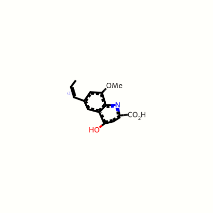 C/C=C\c1cc(OC)c2nc(C(=O)O)cc(O)c2c1